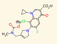 CN(CC1=CCN(c2c(F)cc3c(=O)c(C(=O)O)cn(C4CC4)c3c2Cl)C1)C(=O)OC(C)(C)C